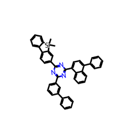 C[Si]1(C)c2ccccc2-c2ccc(-c3nc(-c4cccc(-c5ccccc5)c4)nc(-c4ccc(-c5ccccc5)c5ccccc45)n3)cc21